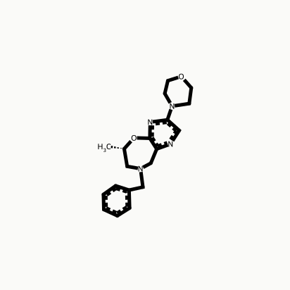 C[C@H]1CN(Cc2ccccc2)Cc2ncc(N3CCOCC3)nc2O1